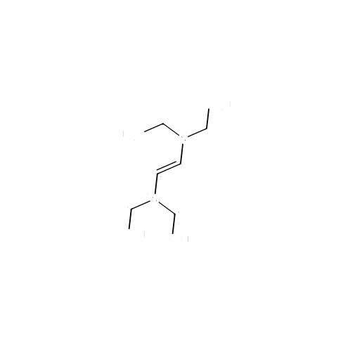 O=C(O)CN(C=CN(CC(=O)O)CC(=O)O)CC(=O)O.[CaH2]